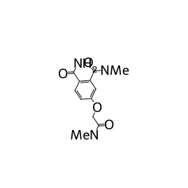 CNC(=O)COc1ccc(C(N)=O)c(C(=O)NC)c1